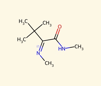 C/N=C(\C(=O)NC)C(C)(C)C